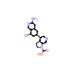 Nc1cc2cc(-c3cncc4c3CCN4C(=O)O)cc(Cl)c2cn1